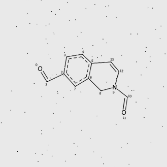 O=Cc1ccc2c(c1)CN(C=O)C=C2